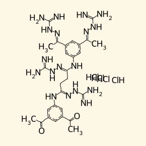 CC(=O)c1cc(NC(CCC(=NNC(=N)N)Nc2cc(C(C)=NNC(=N)N)cc(C(C)=NNC(=N)N)c2)=NNC(=N)N)cc(C(C)=O)c1.Cl.Cl.Cl.Cl